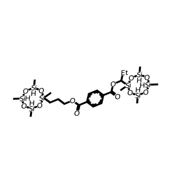 CCC(OC(=O)c1ccc(C(=O)OCCC[Si]2(C)O[SiH](C)O[SiH](C)O[SiH](C)O2)cc1)[Si]1(C)O[SiH](C)O[SiH](C)O[SiH](C)O1